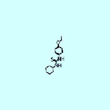 CCOc1ccc(NC(=S)NC2CCCCC2)cc1